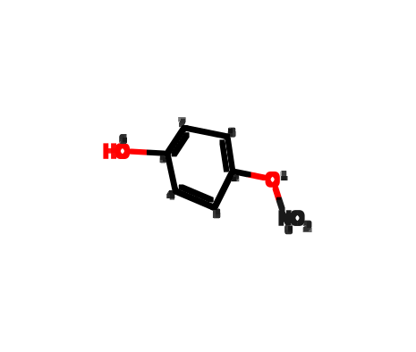 O=[N+]([O-])Oc1ccc(O)cc1